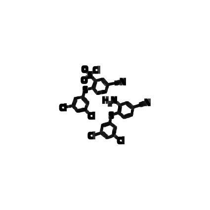 N#Cc1ccc(Sc2cc(Cl)cc(Cl)c2)c(N)c1.N#Cc1ccc(Sc2cc(Cl)cc(Cl)c2)c(S(=O)(=O)Cl)c1